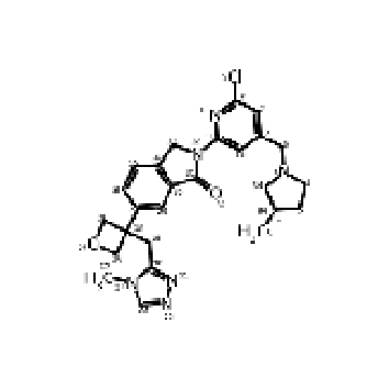 C[C@@H]1CCN(Cc2cc(Cl)nc(N3Cc4ccc(C5(Cc6nncn6C)COC5)cc4C3=O)c2)C1